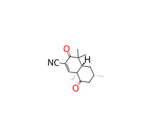 C[C@@H]1CC(=O)[C@@]2(C)C=C(C#N)C(=O)C(C)(C)[C@@H]2C1